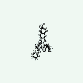 COc1ccc2cc(CC[C@H](N=[N+]=[N-])C(=O)N3C(=O)OC[C@@H]3Cc3ccccc3)ccc2c1